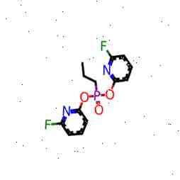 CCCP(=O)(Oc1cccc(F)n1)Oc1cccc(F)n1